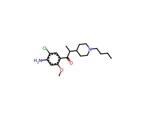 CCCCN1CCC(C(C)C(=O)c2cc(Cl)c(N)cc2OC)CC1